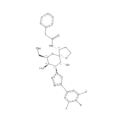 O=C(Cc1ccccc1)N[C@@H]1CCO[C@]12O[C@H](CO)[C@H](O)[C@H](n1cc(-c3cc(F)c(F)c(F)c3)nn1)[C@H]2O